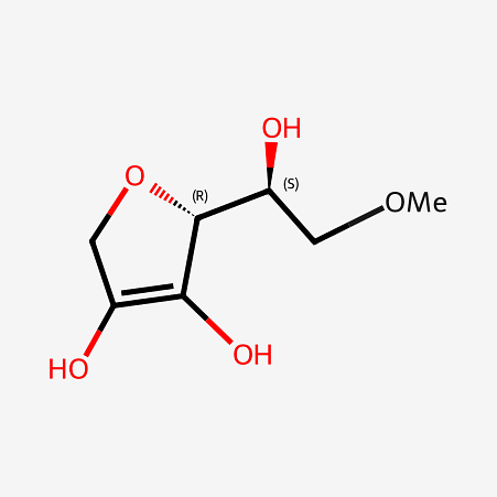 COC[C@H](O)[C@H]1OCC(O)=C1O